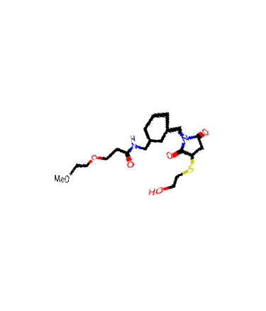 COCCOCCC(=O)NCC1CCCC(CN2C(=O)CC(SCCO)C2=O)C1